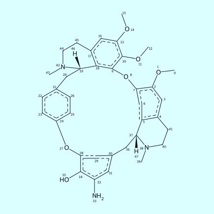 COc1cc2c3cc1Oc1c(OC)c(OC)cc4c1[C@H](Cc1ccc(cc1)Oc1cc(cc(N)c1O)C[C@H]3N(C)CC2)N(C)CC4